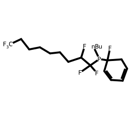 CCCCP(C1(F)C=CC=CC1)C(F)(F)C(F)CCCCCCC(F)(F)F